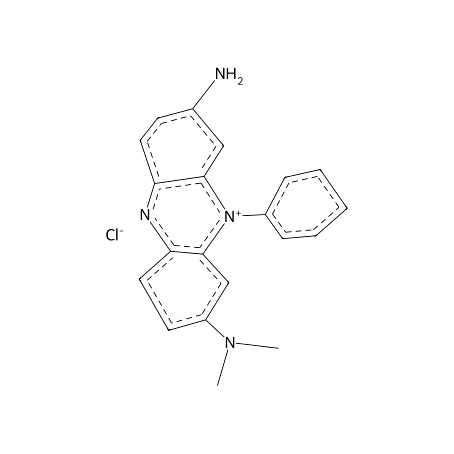 CN(C)c1ccc2nc3ccc(N)cc3[n+](-c3ccccc3)c2c1.[Cl-]